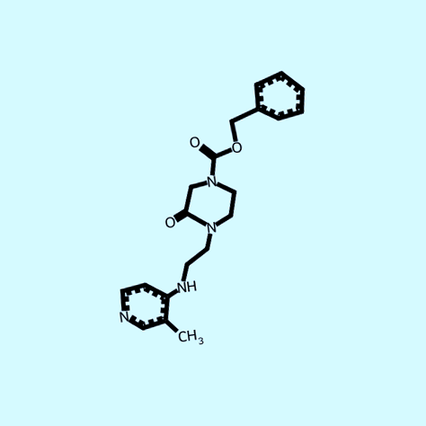 Cc1cnccc1NCCN1CCN(C(=O)OCc2ccccc2)CC1=O